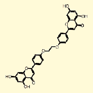 O=c1cc(-c2ccc(OCCOc3ccc(-c4cc(=O)c5c(O)cc(O)cc5o4)cc3)cc2)oc2cc(O)cc(O)c12